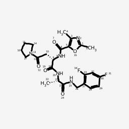 Cc1nc(C)c(C(=O)N[C@@H](CC(=O)N2CCCC2)C(=O)N[C@@H](C)C(=O)NCc2ccc(F)cc2F)o1